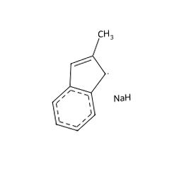 CC1=Cc2ccccc2[CH]1.[NaH]